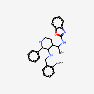 CCCC(Nc1nc2ccccc2o1)C1CCNC(c2ccccc2)C1NCc1ccccc1OC